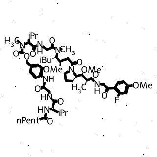 CCCCCC(=O)NC(C(=O)NCC(=O)Nc1ccc(COC(=O)N(C)C(C(=O)NCC(=O)N(C)C([C@@H](C)CC)[C@@H](CC(=O)N2CCC[C@H]2[C@H](OC)[C@@H](C)C(=O)NCC(=O)c2ccc(OC)cc2F)OC)C(C)C)cc1)C(C)C